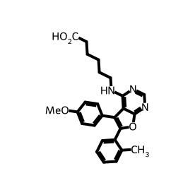 COc1ccc(-c2c(-c3ccccc3C)oc3ncnc(NCCCCCC(=O)O)c23)cc1